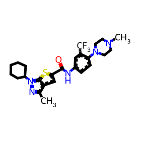 Cc1nn(C2CCCCC2)c2sc(C(=O)Nc3ccc(N4CCN(C)CC4)c(C(F)(F)F)c3)cc12